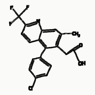 Cc1cc2nc(C(F)(F)F)ccc2c(-c2ccc(Cl)cc2)c1CC(=O)O